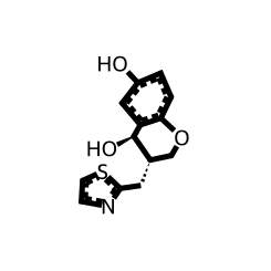 Oc1ccc2c(c1)[C@H](O)[C@@H](Cc1nccs1)CO2